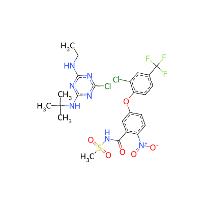 CCNc1nc(Cl)nc(NC(C)(C)C)n1.CS(=O)(=O)NC(=O)c1cc(Oc2ccc(C(F)(F)F)cc2Cl)ccc1[N+](=O)[O-]